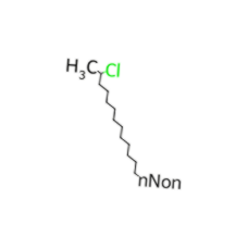 CCCCCCCCCCCCCCCCCCCCC(C)Cl